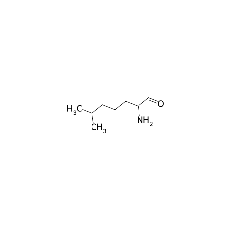 CC(C)CCCC(N)C=O